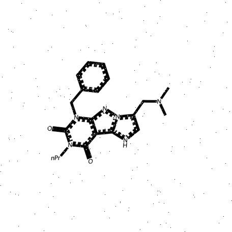 CCCn1c(=O)c2c(nn3c(CN(C)C)c[nH]c23)n(Cc2ccccc2)c1=O